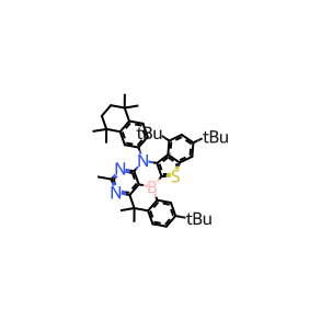 Cc1nc2c3c(n1)C(C)(C)c1ccc(C(C)(C)C)cc1B3c1sc3cc(C(C)(C)C)cc(C(C)(C)C)c3c1N2c1ccc2c(c1)C(C)(C)CCC2(C)C